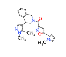 Cc1c(C2CN(C(=O)c3cc(-c4cccn4C)on3)Cc3ccccc32)cnn1C